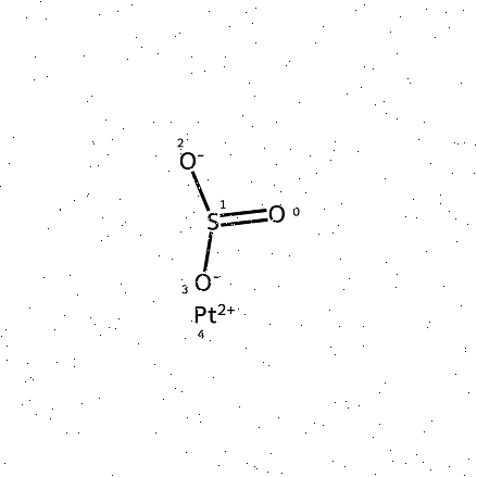 O=S([O-])[O-].[Pt+2]